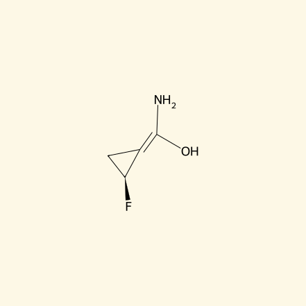 N/C(O)=C1\C[C@@H]1F